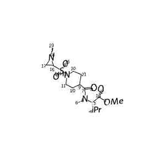 COC(=O)[C@H](C(C)C)N(C)C(=O)C1CCN(S(=O)(=O)C2C[N@@]2C)CC1